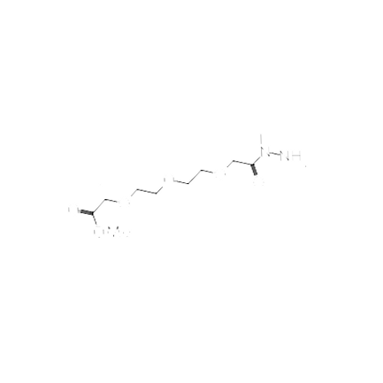 COC(=O)[C@H](C)OCCOCCOCC(=O)NN